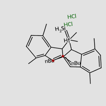 CCCCC1=Cc2c(C)ccc(C)c2[CH]1[Hf]([CH3])([CH3])(=[SiH2])[CH]1C(CCCC)=Cc2c(C)ccc(C)c21.Cl.Cl